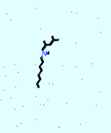 C=[N+](/C=C(/C)C=C(C)C)CCCCCCCC